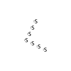 [S].[S].[S].[S].[S].[S].[S]